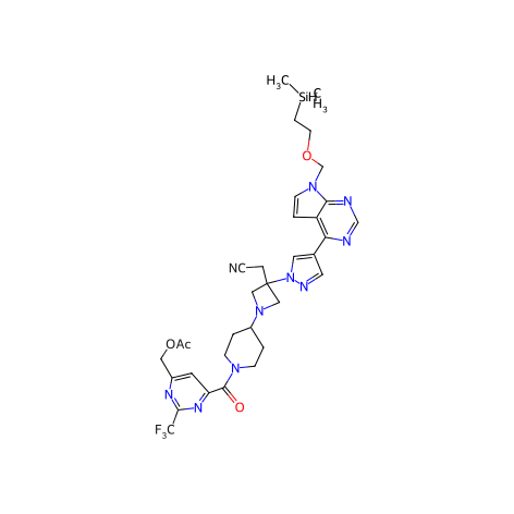 CC(=O)OCc1cc(C(=O)N2CCC(N3CC(CC#N)(n4cc(-c5ncnc6c5ccn6COCC[SiH](C)C)cn4)C3)CC2)nc(C(F)(F)F)n1